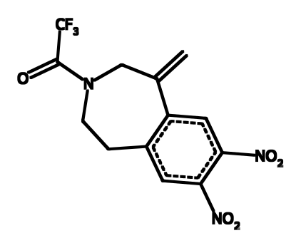 C=C1CN(C(=O)C(F)(F)F)CCc2cc([N+](=O)[O-])c([N+](=O)[O-])cc21